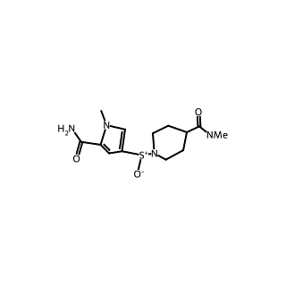 CNC(=O)C1CCN([S+]([O-])c2cc(C(N)=O)n(C)c2)CC1